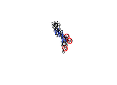 CCOc1ccc2c(c1)C(=O)C(=O)N2CCN1CCN(Cc2ccccc2)CC1